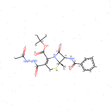 CC(=O)NNC(=O)C1=C(C(=O)OC(C)(C)C)N2C(=O)C(NC(=O)c3ccccc3)[C@@H]2SC1